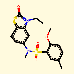 CCn1c(=O)sc2ccc(N(C)S(=O)(=O)c3cc(C)ccc3OC)cc21